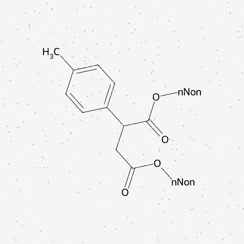 CCCCCCCCCOC(=O)CC(C(=O)OCCCCCCCCC)c1ccc(C)cc1